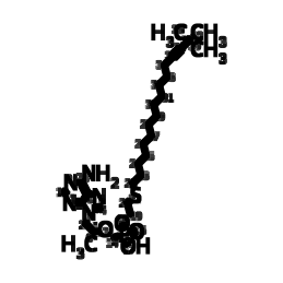 C[C@H](Cn1cnc2c(N)ncnc21)OCP(=O)(O)OCCSCCCCCCCCCCCCCC#CC(C)(C)C